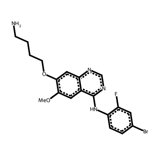 COc1cc2c(Nc3ccc(Br)cc3F)ncnc2cc1OCCCCN